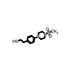 CS(=O)(=O)N1CCN(c2ccc(CCO)cc2)CC1